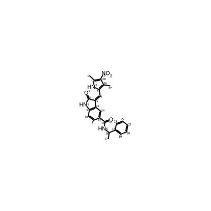 Cc1[nH]c(C=C2C(=O)Nc3ccc(C(=O)NC(C)c4ccccc4)cc32)c(C)c1[N+](=O)[O-]